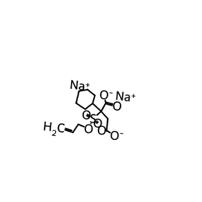 C=CCOS(=O)(=O)C(CC(=O)[O-])(C(=O)[O-])C1CCCCC1.[Na+].[Na+]